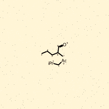 CC(=O)CC(C)C.CCCC(C)C=O